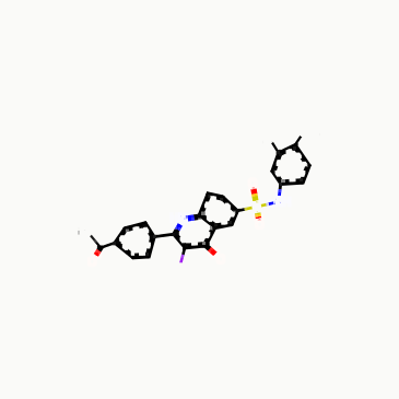 Cc1ccc(NS(=O)(=O)c2ccc3[nH]c(-c4ccc(C(=O)C(C)C)cc4)c(I)c(=O)c3c2)cc1C